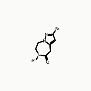 CC(C)N1CCn2nc(Br)cc2CC1=O